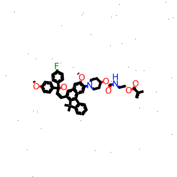 C=C(C)C(=O)OCCNC(=O)OC1CCN(c2cc3c4c(c5c(c3cc2OC)OC(c2ccc(F)cc2)(c2ccc(OC)cc2)C=C5)C(C)(C)c2ccccc2-4)CC1